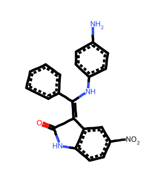 Nc1ccc(NC(=C2C(=O)Nc3ccc([N+](=O)[O-])cc32)c2ccccc2)cc1